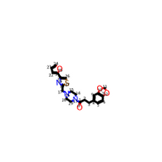 O=C(CCc1ccc2c(c1)OCO2)N1CCN(Cc2nc(-c3ccco3)cs2)CC1